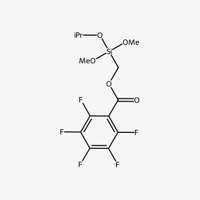 CO[Si](COC(=O)c1c(F)c(F)c(F)c(F)c1F)(OC)OC(C)C